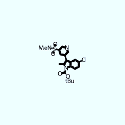 CNS(=O)(=O)c1cncc(-c2c(C)n(C(=O)OC(C)(C)C)c3ccc(Cl)cc23)c1